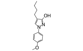 CCCCc1cn(-c2ccc(OC)cc2)nc1O